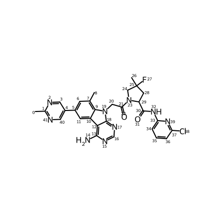 Cc1ncc(-c2cc(C)c3c(c2)c2c(N)ncnc2n3CC(=O)N2CC(C)(F)CC2C(=O)Nc2cccc(Cl)n2)cn1